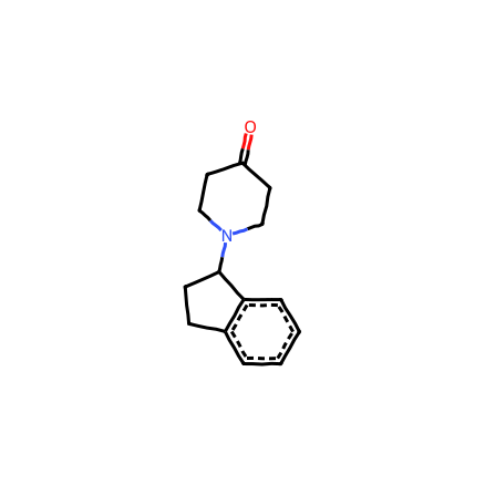 O=C1CCN(C2CCc3ccccc32)CC1